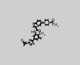 CC(=O)N1CCN(c2ccc3ncc(C(=O)Nc4cc(-c5noc([C@H]6C[C@@H]6F)n5)cc(F)c4C)n3c2)CC1